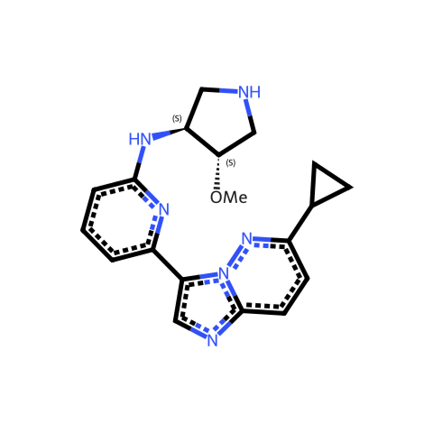 CO[C@H]1CNC[C@@H]1Nc1cccc(-c2cnc3ccc(C4CC4)nn23)n1